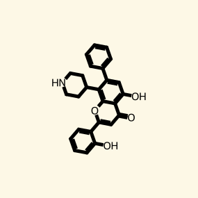 O=c1cc(-c2ccccc2O)oc2c(C3CCNCC3)c(-c3ccccc3)cc(O)c12